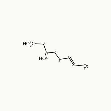 CC/C=C/CCC(O)CC(=O)O